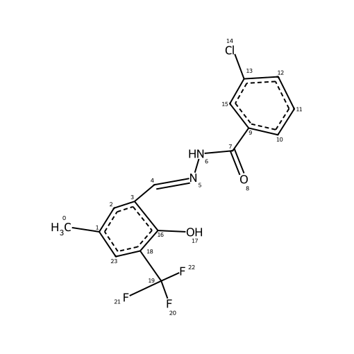 Cc1cc(/C=N/NC(=O)c2cccc(Cl)c2)c(O)c(C(F)(F)F)c1